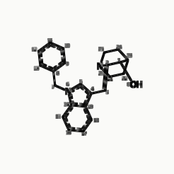 OC1C(=Cc2cn(Cc3ccccc3)c3ccccc23)N2CCC1CC2